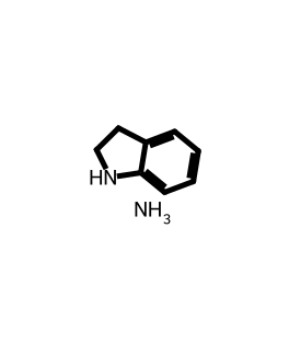 N.c1ccc2c(c1)CCN2